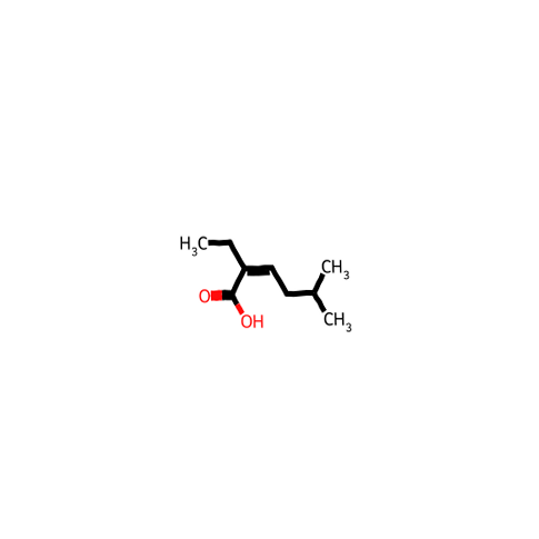 CCC(=CCC(C)C)C(=O)O